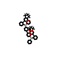 CC1(C)c2cc(N(c3ccccc3)c3ccccc3-c3ccc4c(c3)C(C)(C)C(C)(C)C4(C)C)ccc2-c2ccc(N(c3ccccc3)c3ccccc3-c3ccc4c(c3)C(C)(C)C(C)(C)C4(C)C)cc21